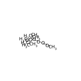 CCOCCOCCOCCOc1cc(C(C)(C)C)c(OC)cc1C(C)(C)C